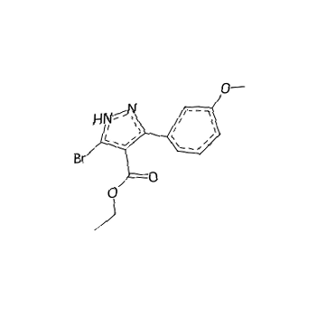 CCOC(=O)c1c(-c2cccc(OC)c2)n[nH]c1Br